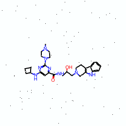 CN1CCN(c2nc(NC3CCC3)cc(C(=O)NCC(O)CN3CCc4c([nH]c5ccccc45)C3)n2)CC1